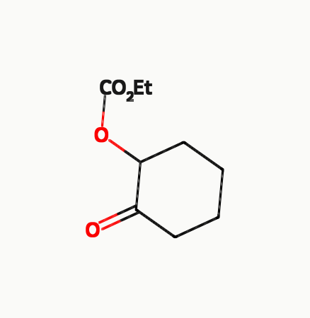 CCOC(=O)OC1CCCCC1=O